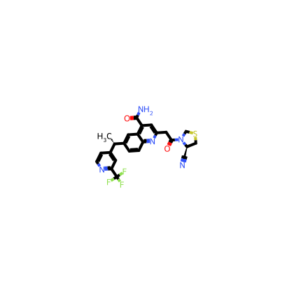 C[C@@H](c1ccnc(C(F)(F)F)c1)c1ccc2nc(CC(=O)N3CSC[C@H]3C#N)cc(C(N)=O)c2c1